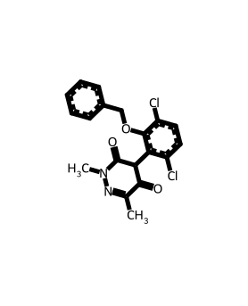 CC1=NN(C)C(=O)C(c2c(Cl)ccc(Cl)c2OCc2ccccc2)C1=O